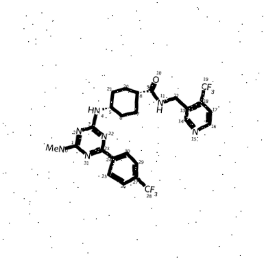 CNc1nc(N[C@H]2CC[C@@H](C(=O)NCc3cnccc3C(F)(F)F)CC2)nc(-c2ccc(C(F)(F)F)cc2)n1